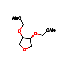 COCOC1COC[C@@H]1OCOC